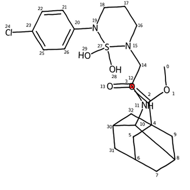 COC(=O)C12CC3CC(C1)C(NC(=O)CN1CCCN(c4ccc(Cl)cc4)S1(O)O)C(C3)C2